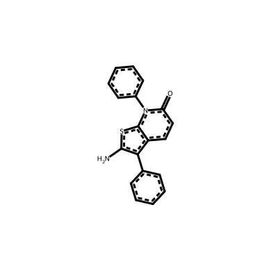 Nc1sc2c(ccc(=O)n2-c2ccccc2)c1-c1ccccc1